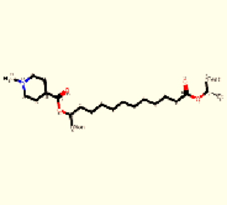 CCCCCCCCCC(CCCCCCCCCCC(=O)O[C@@H](CC)CCCCC)OC(=O)C1CCN(C)CC1